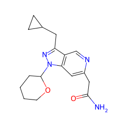 NC(=O)Cc1cc2c(cn1)c(CC1CC1)nn2C1CCCCO1